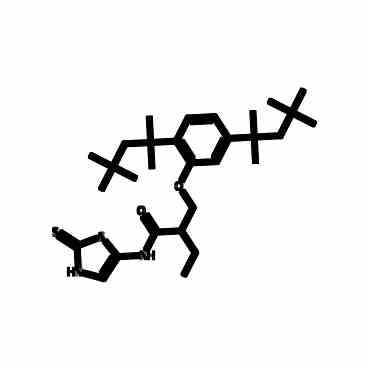 CCC(COc1cc(C(C)(C)CC(C)(C)C)ccc1C(C)(C)CC(C)(C)C)C(=O)Nc1c[nH]c(=S)s1